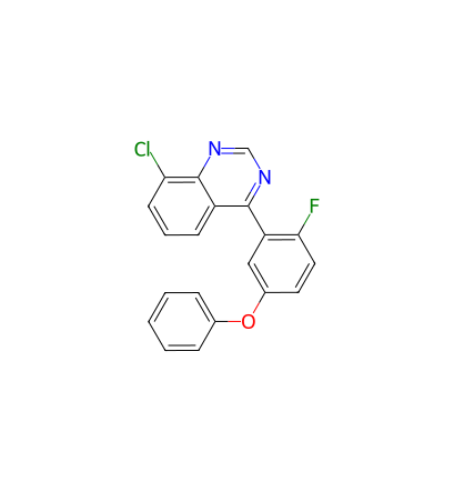 Fc1ccc(Oc2ccccc2)cc1-c1ncnc2c(Cl)cccc12